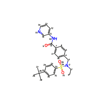 CCN(Cc1ccc(C(=O)Nc2cccnc2)cc1)S(=O)(=O)c1ccc(C(C)(C)C)cc1